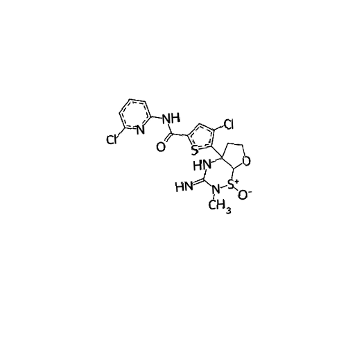 CN1C(=N)NC2(c3sc(C(=O)Nc4cccc(Cl)n4)cc3Cl)CCOC2[S+]1[O-]